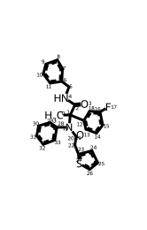 CC(C(=O)NCc1ccccc1)(c1cccc(F)c1)N(C(=O)Cc1cccs1)c1ccccc1